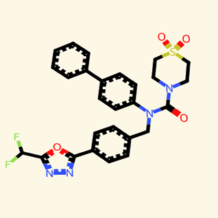 O=C(N1CCS(=O)(=O)CC1)N(Cc1ccc(-c2nnc(C(F)F)o2)cc1)c1ccc(-c2ccccc2)cc1